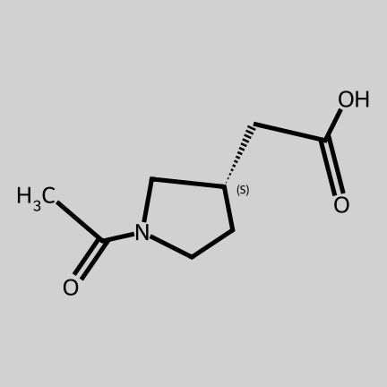 CC(=O)N1CC[C@@H](CC(=O)O)C1